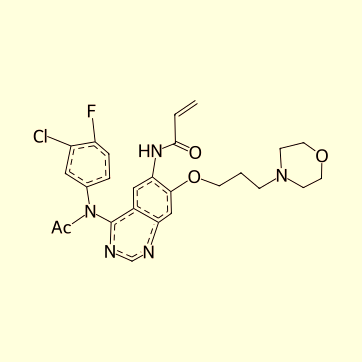 C=CC(=O)Nc1cc2c(N(C(C)=O)c3ccc(F)c(Cl)c3)ncnc2cc1OCCCN1CCOCC1